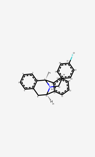 C[C@]12c3ccccc3C[C@H](c3ccccc31)N2Cc1ccc(F)cc1